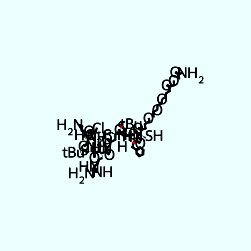 CC(C)(C)SC[C@H](NC(=O)[C@H](CC(=O)O)CC(=O)CNC(=O)[C@H](CCCNC(=N)N)CC(=O)[C@H](CSC(C)(C)C)NC(=O)[C@H](CCCCN)NC(=O)CCl)C(=O)C[C@@H](Cc1ccccc1)C(=O)N[C@@H](CS)C(=O)CCCOCCOCCOCCCC(=O)COCC(N)=O